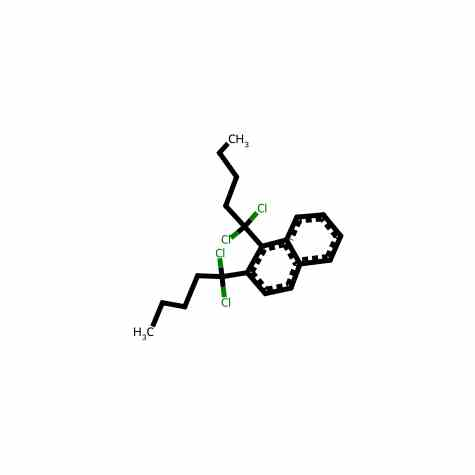 CCCCC(Cl)(Cl)c1ccc2ccccc2c1C(Cl)(Cl)CCCC